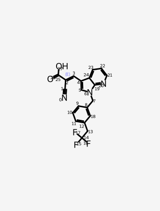 N#C/C(=C\c1cn(Cc2cccc(CC(F)(F)F)c2)c2ncccc12)C(=O)O